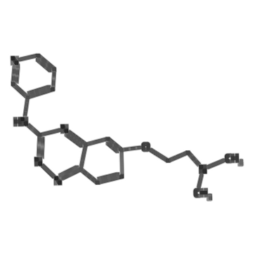 CN(C)CCOc1ccc2nnc(Nc3cccnc3)nc2c1